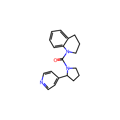 O=C(N1CCCc2ccccc21)N1CCCC1c1ccncc1